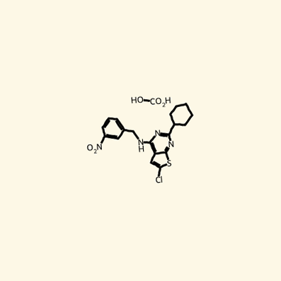 O=C(O)O.O=[N+]([O-])c1cccc(CNc2nc(C3CCCCC3)nc3sc(Cl)cc23)c1